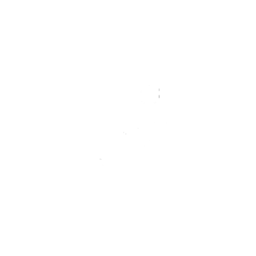 COCOc1ccc(C=CC(=O)COC)nc1Cc1ccccc1